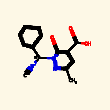 [C-]#[N+][C@H](c1ccccc1)n1nc(C)cc(C(=O)O)c1=O